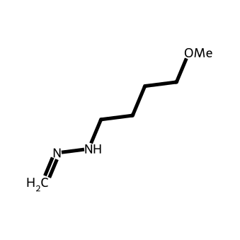 C=NNCCCCOC